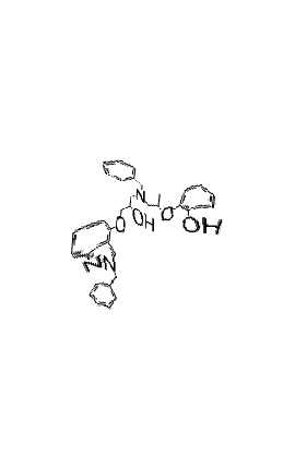 CC(CN(Cc1ccccc1)CC(O)COc1cccc2nn(Cc3ccccc3)cc12)Oc1ccccc1O